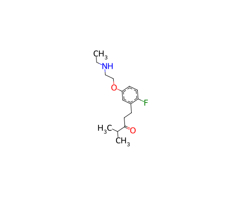 CCNCCOc1ccc(F)c(CCC(=O)C(C)C)c1